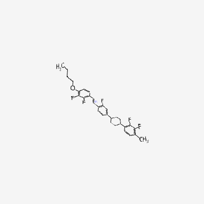 CCCCOc1ccc(/C=C/c2ccc(C3CCC(c4ccc(C)c(F)c4F)CC3)cc2F)c(F)c1F